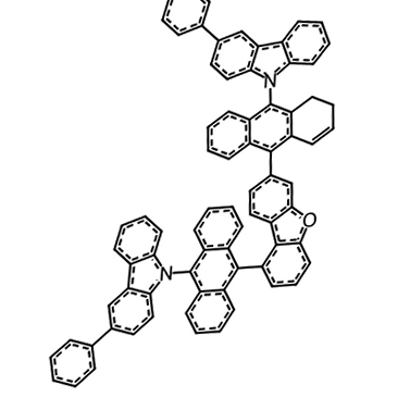 C1=Cc2c(c(-n3c4ccccc4c4cc(-c5ccccc5)ccc43)c3ccccc3c2-c2ccc3c(c2)oc2cccc(-c4c5ccccc5c(-n5c6ccccc6c6cc(-c7ccccc7)ccc65)c5ccccc45)c23)CC1